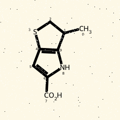 CC1CSc2cc(C(=O)O)[nH]c21